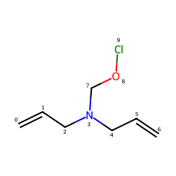 C=CCN(CC=C)COCl